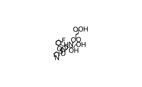 O=C(O)/C=C/C(=O)OCNC(O)(CCO)c1cc(-c2ccccc2F)n(S(=O)(=O)c2cccnc2)c1